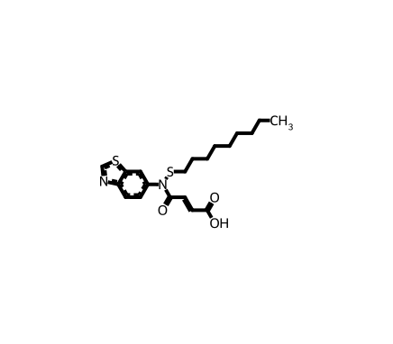 CCCCCCCCCSN(C(=O)C=CC(=O)O)c1ccc2ncsc2c1